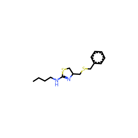 CCCCNC1=NC(CSCc2ccccc2)CS1